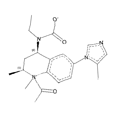 CCN(C(=O)[O-])[C@@H]1C[C@H](C)[N+](C)(C(C)=O)c2ccc(-n3cncc3C)cc21